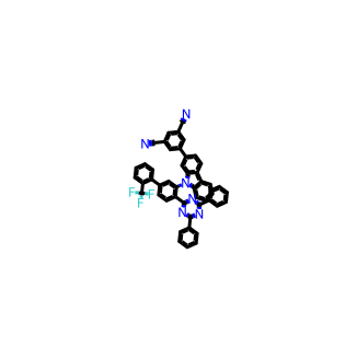 N#Cc1cc(C#N)cc(-c2ccc3c4ccccc4n(-c4cc(-c5ccccc5C(F)(F)F)ccc4-c4nc(-c5ccccc5)nc(-c5ccccc5)n4)c3c2)c1